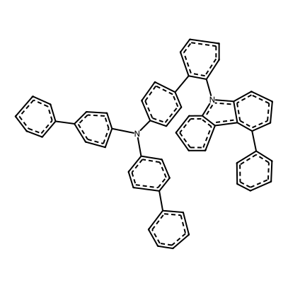 c1ccc(-c2ccc(N(c3ccc(-c4ccccc4)cc3)c3ccc(-c4ccccc4-n4c5ccccc5c5c(-c6ccccc6)cccc54)cc3)cc2)cc1